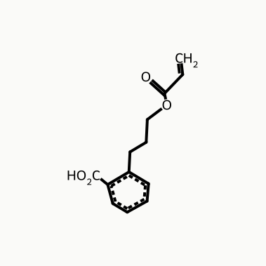 C=CC(=O)OCCCc1ccccc1C(=O)O